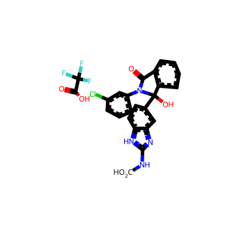 O=C(O)C(F)(F)F.O=C(O)Nc1nc2cc(C3(O)c4ccccc4C(=O)N3c3cccc(Cl)c3)ccc2[nH]1